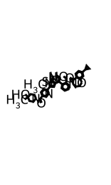 CSn1c(-c2ccc(C(=O)N3CCC(C)(O)CC3)cn2)cc2c(-c3cccc(N4CCOc5cc(C6CC6)ccc5C4=O)c3CO)ccnc21